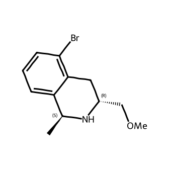 COC[C@H]1Cc2c(Br)cccc2[C@H](C)N1